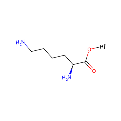 NCCCC[C@H](N)C(=O)[O][Hf]